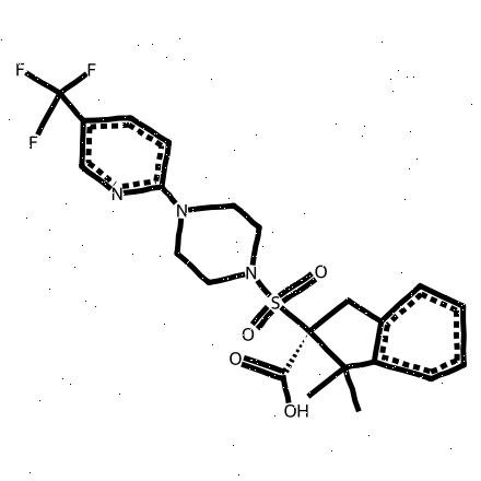 CC1(C)c2ccccc2C[C@]1(C(=O)O)S(=O)(=O)N1CCN(c2ccc(C(F)(F)F)cn2)CC1